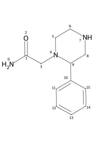 NC(=O)CN1CCNCC1c1ccccc1